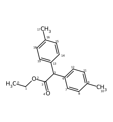 CCOC(=O)C(c1ccc(C)cc1)c1ccc(C)cc1